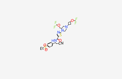 CCS(=O)(=O)c1ccc([C@H](CC#N)NC(=O)c2cnc(N3CCN(C4CC(OC(F)F)C4)CC3COC(F)F)s2)cc1